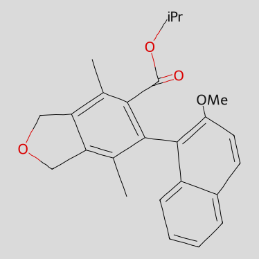 COc1ccc2ccccc2c1-c1c(C)c2c(c(C)c1C(=O)OC(C)C)COC2